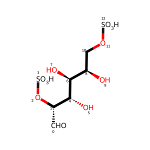 O=C[C@H](OS(=O)(=O)O)[C@@H](O)[C@@H](O)[C@H](O)COS(=O)(=O)O